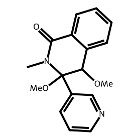 COC1c2ccccc2C(=O)N(C)C1(OC)c1cccnc1